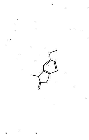 COc1ccc2c(c1)C(C)C(=O)O2